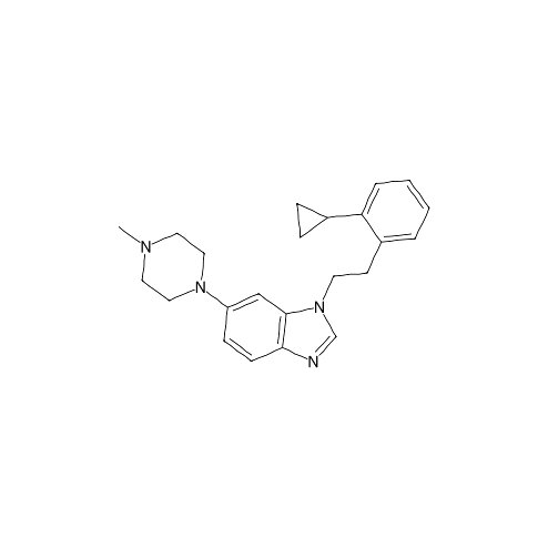 CN1CCN(c2ccc3ncn(CCc4ccccc4C4CC4)c3c2)CC1